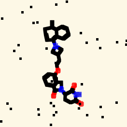 C=C1CC=CC(N2CC(CCOc3cccc4c3CN(C3CCC(=O)NC3=O)C4=O)C2)=C2C=CC=CC12